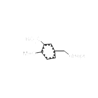 CCCCCCCCc1ccc(OC)c(C(=O)O)c1